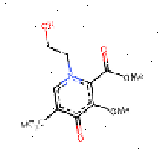 COC(=O)c1c(OC)c(=O)c(C(=O)O)cn1CCO